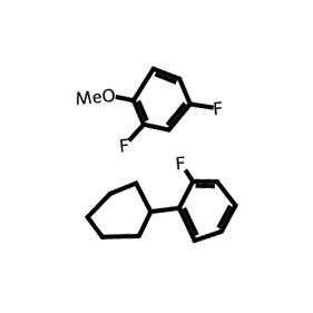 COc1ccc(F)cc1F.Fc1ccccc1C1CCCCC1